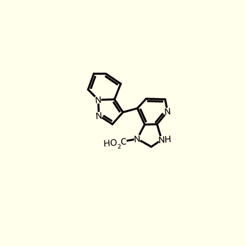 O=C(O)N1CNc2nccc(-c3cnn4ccccc34)c21